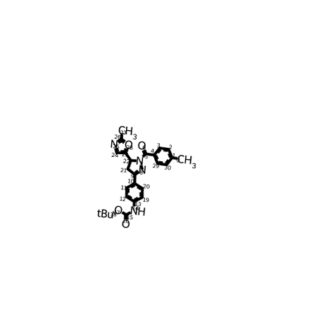 Cc1ccc(C(=O)N2N=C(c3ccc(NC(=O)OC(C)(C)C)cc3)CC2c2cnc(C)o2)cc1